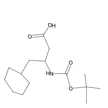 CC(C)(C)OC(=O)NC(CC(=O)O)CC1CCCCC1